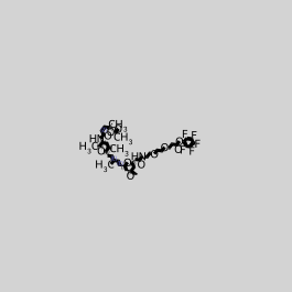 CC(=O)O[C@@H](C)/C=C\C(=O)N[C@@H]1C[C@H](C)[C@H](C/C=C(C)/C=C/[C@@H]2C[C@]3(CO3)C[C@@H](CC(=O)NCCOCCOCCC(=O)Oc3c(F)c(F)c(F)c(F)c3F)O2)O[C@@H]1C